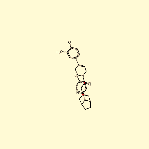 O=C(CN1CC2CCC(C1)N2c1ccc(Cl)cn1)N1CC=C(c2ccc(Cl)c(C(F)(F)F)c2)CC1